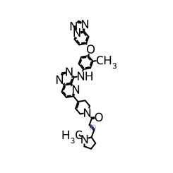 Cc1cc(Nc2ncnc3ccc(C4=CCN(C(=O)/C=C/C5CCCN5C)CC4)nc23)ccc1Oc1ccn2ncnc2c1